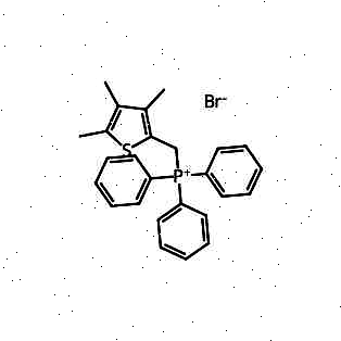 Cc1sc(C[P+](c2ccccc2)(c2ccccc2)c2ccccc2)c(C)c1C.[Br-]